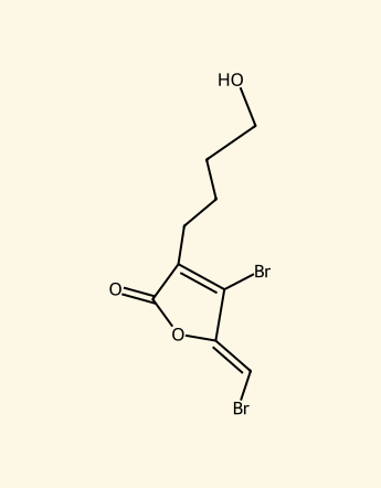 O=C1OC(=CBr)C(Br)=C1CCCCO